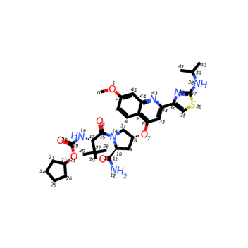 COc1ccc2c(O[C@@H]3C[C@@H](C(N)=O)N(C(=O)[C@@H](NC(=O)OC4CCCC4)C(C)(C)C)C3)cc(-c3csc(NC(C)C)n3)nc2c1